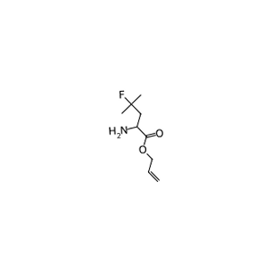 C=CCOC(=O)C(N)CC(C)(C)F